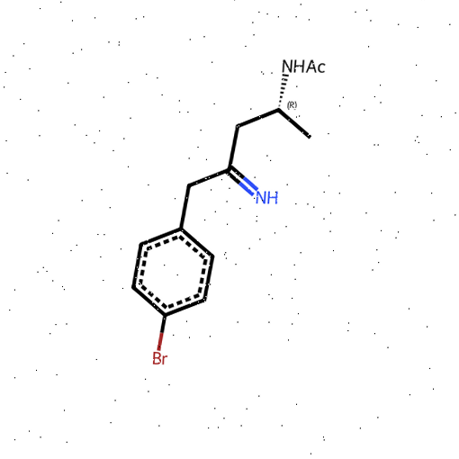 CC(=O)N[C@H](C)CC(=N)Cc1ccc(Br)cc1